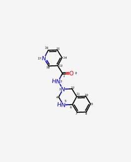 O=C(NN1CNc2ccccc2C1)c1cccnc1